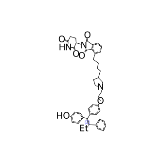 CC/C(=C(\c1ccc(O)cc1)c1ccc(OCCN2CCC(CCCCc3cccc4c3C(=O)N(C3CCC(=O)NC3=O)C4=O)C2)cc1)c1ccccc1